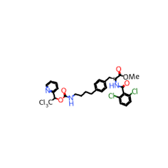 COC(=O)[C@H](Cc1ccc(CCCCNC(=O)OC(c2ccccn2)C(Cl)(Cl)Cl)cc1)NC(=O)c1c(Cl)cccc1Cl